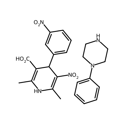 CC1=C(C(=O)O)C(c2cccc([N+](=O)[O-])c2)C([N+](=O)[O-])=C(C)N1.c1ccc(N2CCNCC2)cc1